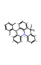 Cc1cccc(C)c1B1c2ccccc2N2c3ccccc3C(C)(C)c3cccc1c32